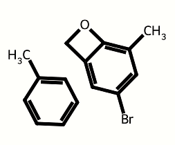 Cc1cc(Br)cc2c1OC2.Cc1ccccc1